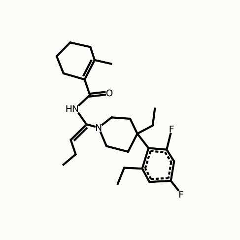 CC/C=C(/NC(=O)C1=C(C)CCCC1)N1CCC(CC)(c2c(F)cc(F)cc2CC)CC1